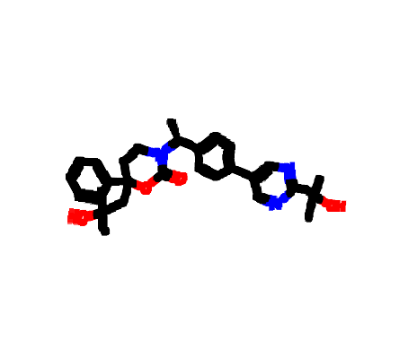 C[C@@H](c1ccc(-c2cnc(C(C)(C)O)nc2)cc1)N1CCC(CC(C)(C)O)(c2ccccc2)OC1=O